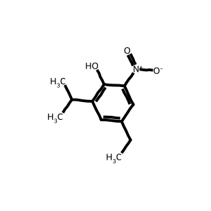 CCc1cc(C(C)C)c(O)c([N+](=O)[O-])c1